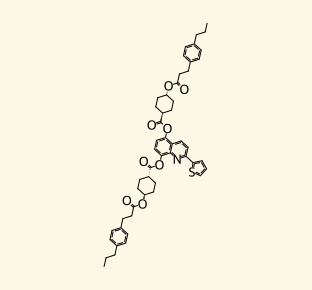 CCCc1ccc(CCC(=O)O[C@H]2CC[C@H](C(=O)Oc3ccc(OC(=O)[C@H]4CC[C@H](OC(=O)CCc5ccc(CCC)cc5)CC4)c4nc(-c5cccs5)ccc34)CC2)cc1